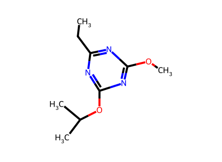 CCc1nc(OC)nc(OC(C)C)n1